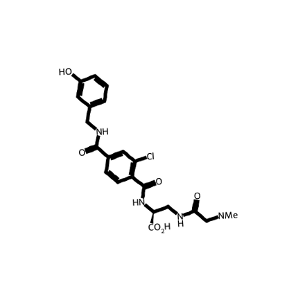 CNCC(=O)NC[C@H](NC(=O)c1ccc(C(=O)NCc2cccc(O)c2)cc1Cl)C(=O)O